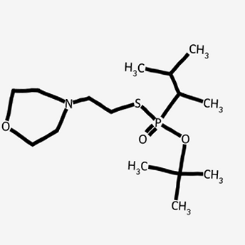 CC(C)C(C)P(=O)(OC(C)(C)C)SCCN1CCOCC1